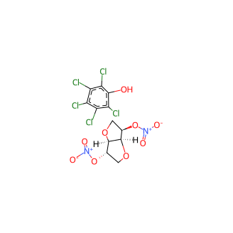 O=[N+]([O-])O[C@H]1CO[C@H]2[C@@H]1OC[C@H]2O[N+](=O)[O-].Oc1c(Cl)c(Cl)c(Cl)c(Cl)c1Cl